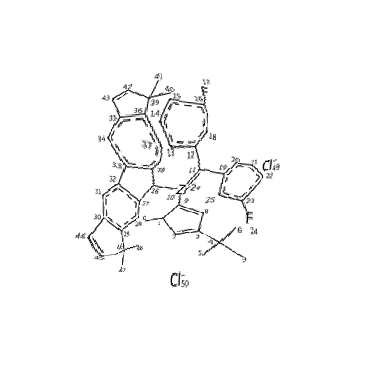 CC1C=C(C(C)(C)C)C=[C]1[Zr+2](=[C](c1cccc(F)c1)c1cccc(F)c1)[CH]1c2cc3c(cc2-c2cc4c(cc21)C(C)(C)C=C4)C=CC3(C)C.[Cl-].[Cl-]